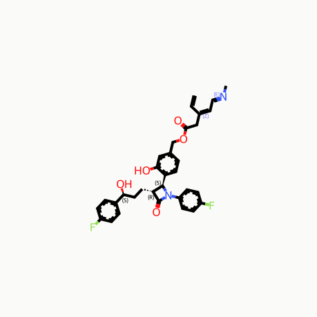 C=C/C(=C\C=N\C)CC(=O)OCc1ccc([C@@H]2[C@@H](CC[C@H](O)c3ccc(F)cc3)C(=O)N2c2ccc(F)cc2)c(O)c1